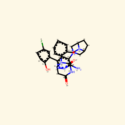 Nc1nnc(-c2cc(F)ccc2O)cc1N1CC2CCC(C1)N2Cc1ccccc1N1CCC(=O)NC1=O